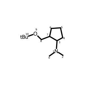 CN(C)C1CCCC1COC(C)(C)C